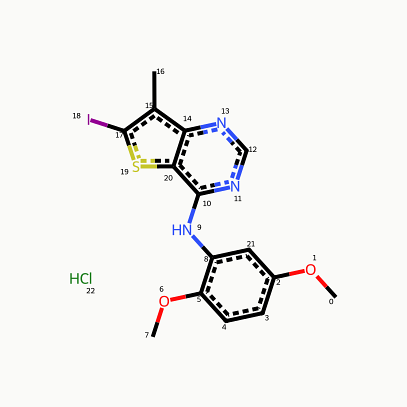 COc1ccc(OC)c(Nc2ncnc3c(C)c(I)sc23)c1.Cl